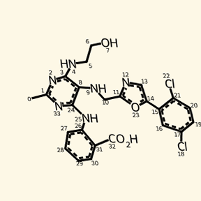 Cc1nc(NCCO)c(NCc2ncc(-c3cc(Cl)ccc3Cl)o2)c(Nc2ccccc2C(=O)O)n1